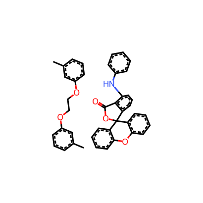 Cc1cccc(OCCOc2cccc(C)c2)c1.O=C1OC2(c3ccccc3Oc3ccccc32)c2cccc(Nc3ccccc3)c21